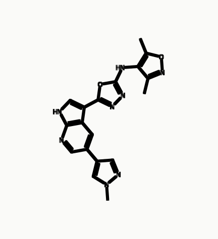 Cc1noc(C)c1Nc1nnc(-c2c[nH]c3ncc(-c4cnn(C)c4)cc23)o1